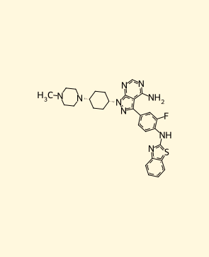 CN1CCN([C@H]2CC[C@@H](n3nc(-c4ccc(Nc5nc6ccccc6s5)c(F)c4)c4c(N)ncnc43)CC2)CC1